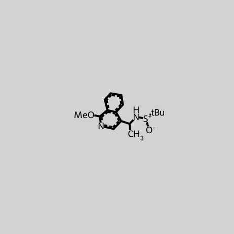 COc1ncc(C(C)N[S+]([O-])C(C)(C)C)c2ccccc12